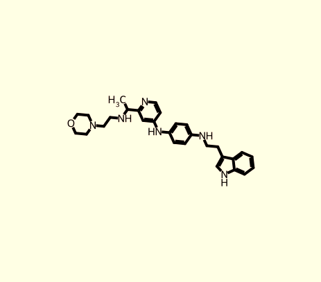 CC(NCCN1CCOCC1)c1cc(Nc2ccc(NCCc3c[nH]c4ccccc34)cc2)ccn1